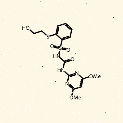 COc1cc(OC)nc(NC(=O)NS(=O)(=O)c2ccccc2SCCO)n1